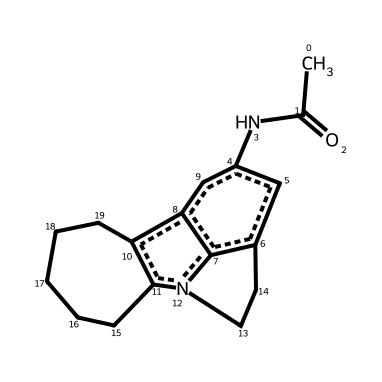 CC(=O)Nc1cc2c3c(c1)c1c(n3CC2)CCCCC1